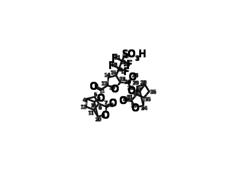 O=C(OC1C2CC3C(=O)OC1C3C2)C1CC(C(F)(F)C(F)(F)S(=O)(=O)O)C(C(=O)OC2C3CC4C(=O)OC2C4C3)O1